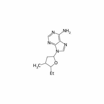 CCC1OC(n2cnc3c(N)ncnc32)CC1C